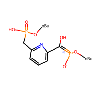 CCCCO/[P+]([O-])=C(\O)c1cccc(CP(=O)(O)OCCCC)n1